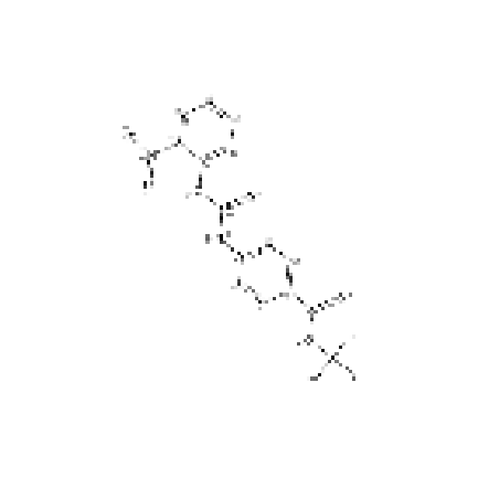 CC(C)(C)OC(=O)c1ccc(NC(=O)Oc2ccccc2[N+](=O)[O-])cc1